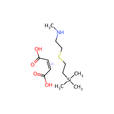 CNCCSCC[Si](C)(C)C.O=C(O)/C=C\C(=O)O